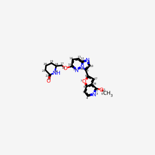 COc1nccc2oc(-c3cnc4ccc(OCC5CCCC(=O)N5)nn34)cc12